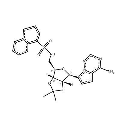 CC1(C)O[C@@H]2[C@H](O1)[C@@H](CNS(=O)(=O)c1cccc3ccccc13)O[C@H]2c1ccc2c(N)ncnn12